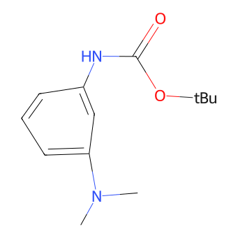 CN(C)c1cccc(NC(=O)OC(C)(C)C)c1